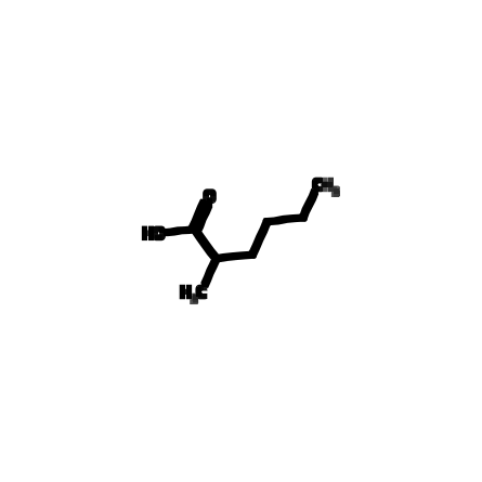 CCCCC(C)C(=O)O